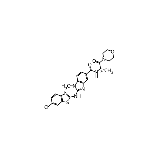 C[C@H](NC(=O)c1ccc2c(c1)nc(Nc1nc3ccc(Cl)cc3s1)n2C)C(=O)N1CCOCC1